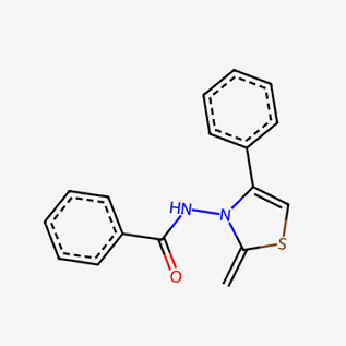 C=C1SC=C(c2ccccc2)N1NC(=O)c1ccccc1